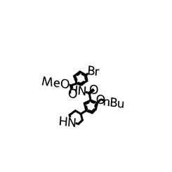 CCCCOc1ccc(C2CCNCC2)cc1C(=O)Nc1cc(Br)ccc1C(=O)OC